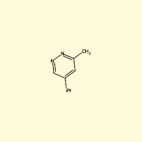 Cc1cc(C(C)C)cnn1